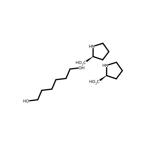 O=C(O)[C@@H]1CCCN1.O=C(O)[C@@H]1CCCN1.OCCCCCCO